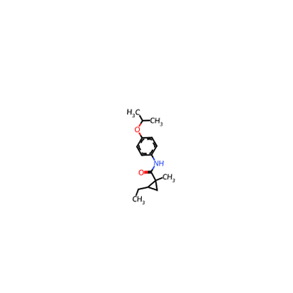 CCC1CC1(C)C(=O)Nc1ccc(OC(C)C)cc1